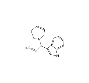 C=CC(c1c[nH]c2ccccc12)N1CC=CCC1